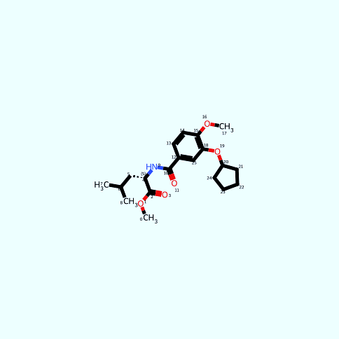 COC(=O)[C@H](CC(C)C)NC(=O)c1ccc(OC)c(OC2CCCC2)c1